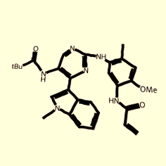 C=CC(=O)Nc1cc(Nc2ncc(NC(=O)C(C)(C)C)c(-c3cn(C)c4ccccc34)n2)c(C)cc1OC